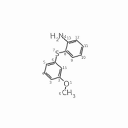 COc1cccc(Sc2ccccc2N)c1